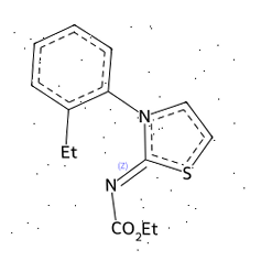 CCOC(=O)/N=c1\sccn1-c1ccccc1CC